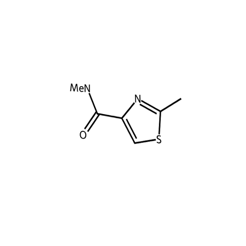 CNC(=O)c1csc(C)n1